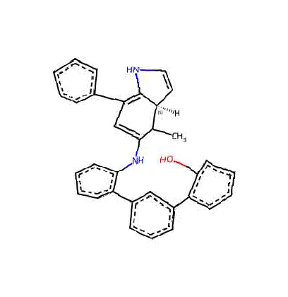 CC1C(Nc2ccccc2-c2cccc(-c3ccccc3O)c2)=CC(c2ccccc2)=C2NC=C[C@H]21